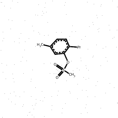 Cc1ccc(C(C)C)c(OS(C)(=O)=O)c1